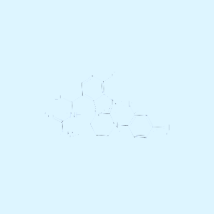 CCC(NC(=O)OC)c1ccc(Cl)c2nc3n(c12)CCCN3c1ccc(Cl)cc1Cl